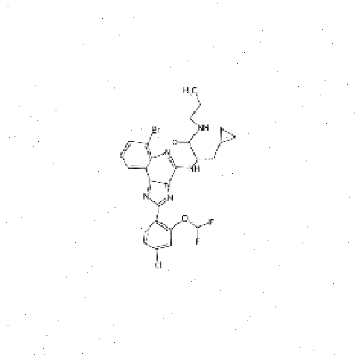 CCCNC(=O)[C@H](CC1CC1)Nc1nc2c(Br)cccc2c2nc(-c3ccc(Cl)cc3OC(F)F)nn12